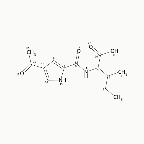 CCC(C)C(NC(=O)c1cc(C(C)=O)c[nH]1)C(=O)O